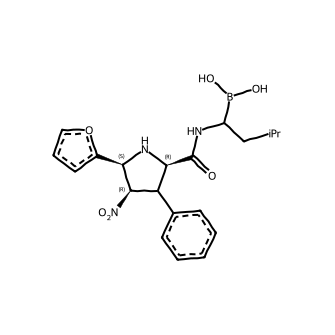 CC(C)CC(NC(=O)[C@@H]1N[C@H](c2ccco2)[C@H]([N+](=O)[O-])C1c1ccccc1)B(O)O